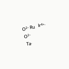 [Ir+4].[O-2].[O-2].[Ru].[Ta]